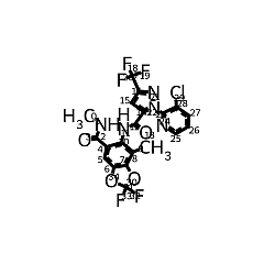 CNC(=O)c1cc2c(c(C)c1NC(=O)c1cc(C(F)(F)F)nn1-c1ncccc1Cl)OC(F)(F)O2